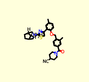 Cc1ccc(OCc2ccc(C(=O)N3CCC(C#N)CC3)cc2C)c(-c2csc(N3CC4CC[C@H](C3)[C@@H]4C(=O)O)n2)c1